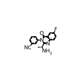 C[C@H](N)c1nc2ccc(F)cc2c(=O)n1-c1cccc(C#N)c1